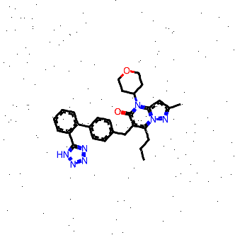 CCCc1c(Cc2ccc(-c3ccccc3-c3nnn[nH]3)cc2)c(=O)n(C2CCOCC2)c2cc(C)nn12